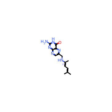 CC(C)=C/C=C(\C)NCc1cnc2nc(N)[nH]c(=O)c2n1